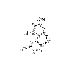 N#Cc1cc(F)c(-c2cc(F)[c]cc2F)c(F)c1